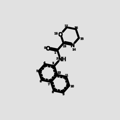 O=C(Nc1cccc2ccccc12)C1=NCCCO1